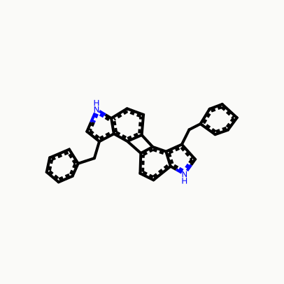 c1ccc(Cc2c[nH]c3ccc4c(c23)-c2ccc3[nH]cc(Cc5ccccc5)c3c2-4)cc1